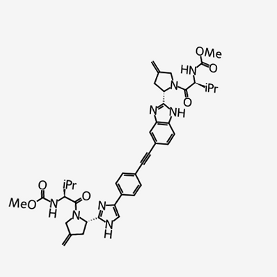 C=C1C[C@@H](c2nc(-c3ccc(C#Cc4ccc5[nH]c([C@@H]6CC(=C)CN6C(=O)[C@@H](NC(=O)OC)C(C)C)nc5c4)cc3)c[nH]2)N(C(=O)[C@@H](NC(=O)OC)C(C)C)C1